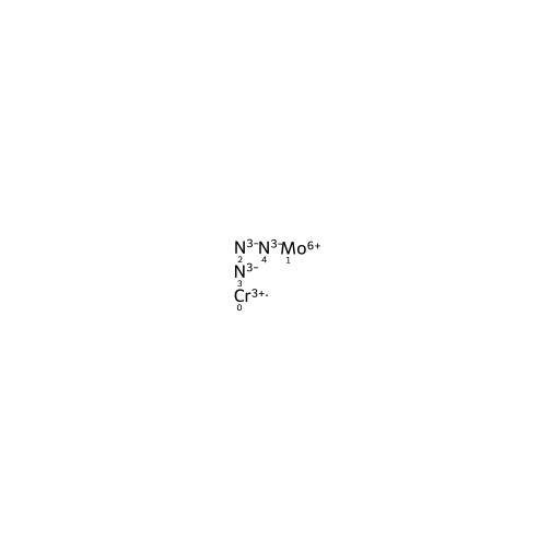 [Cr+3].[Mo+6].[N-3].[N-3].[N-3]